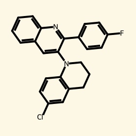 Fc1ccc(-c2nc3ccccc3cc2N2CCCc3cc(Cl)ccc32)cc1